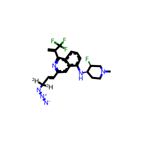 [2H]C([2H])(/C=C/c1cc2c(N[C@@H]3CCN(C)C[C@@H]3F)cccc2c(C(=C)C(F)(F)F)n1)N=[N+]=[N-]